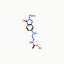 C=C(NCCNc1ccc2c(c1)CN(C(C)CCC)C2=O)OCC